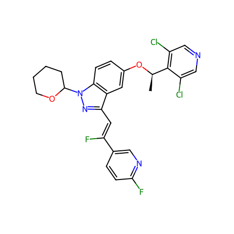 C[C@@H](Oc1ccc2c(c1)c(/C=C(\F)c1ccc(F)nc1)nn2C1CCCCO1)c1c(Cl)cncc1Cl